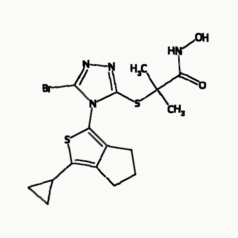 CC(C)(Sc1nnc(Br)n1-c1sc(C2CC2)c2c1CCC2)C(=O)NO